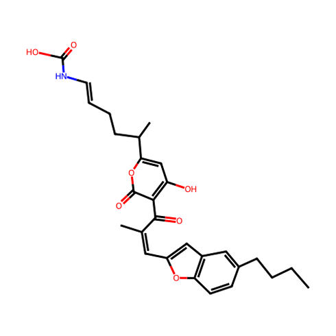 CCCCc1ccc2oc(C=C(C)C(=O)c3c(O)cc(C(C)CCC=CNC(=O)O)oc3=O)cc2c1